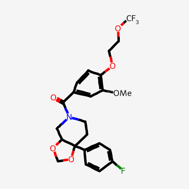 COc1cc(C(=O)N2CCC3(c4ccc(F)cc4)OCOC3C2)ccc1OCCOC(F)(F)F